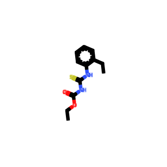 CCOC(=O)NC(=S)Nc1ccccc1CC